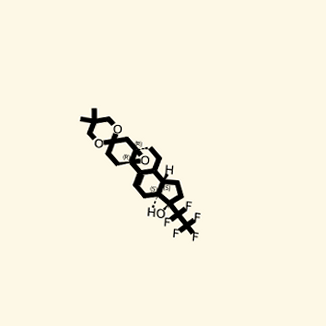 CC1(C)COC2(CC[C@]34O[C@]3(CCC3C4=CC[C@@]4(C)[C@H]3CC[C@@]4(O)C(F)(F)C(F)(F)F)C2)OC1